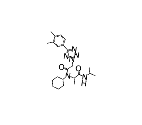 Cc1ccc(-c2nnn(CC(=O)N(C3CCCCC3)C(C)C(=O)NC(C)C)n2)cc1C